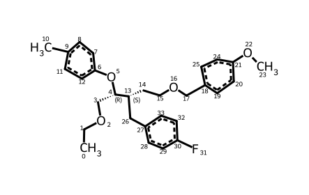 CCOC[C@H](Oc1ccc(C)cc1)[C@H](CCOCc1ccc(OC)cc1)Cc1ccc(F)cc1